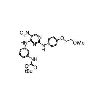 COCCOc1ccc(Nc2ncc([N+](=O)[O-])c(Nc3cccc(NC(=O)OC(C)(C)C)c3)n2)cc1